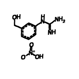 N=C(N)Nc1cccc(CO)c1.O=[N+]([O-])O